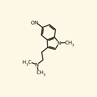 CN(C)CCc1cn(C)c2ccc(N=O)cc12